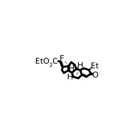 CCOC(=O)C(F)=C1CC[C@H]2[C@@H]3CCC4=CC(=O)[C@H](CC)C[C@]4(C)[C@H]3CC[C@]12C